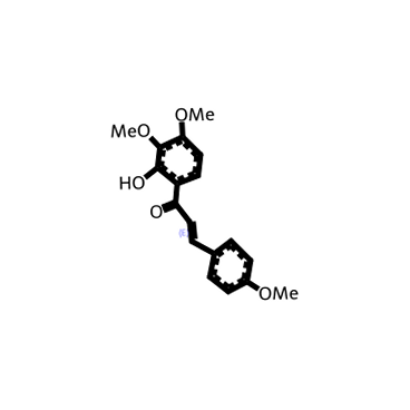 COc1ccc(/C=C/C(=O)c2ccc(OC)c(OC)c2O)cc1